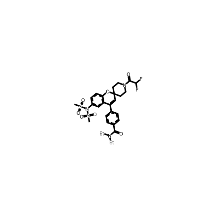 CCN(CC)C(=O)c1ccc(C2=CC3(CCN(C(=O)C(F)F)CC3)Oc3ccc(N(S(C)(=O)=O)S(C)(=O)=O)cc32)cc1